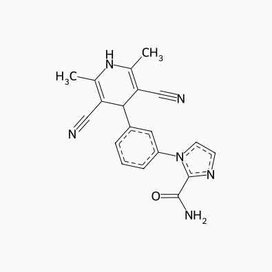 CC1=C(C#N)C(c2cccc(-n3ccnc3C(N)=O)c2)C(C#N)=C(C)N1